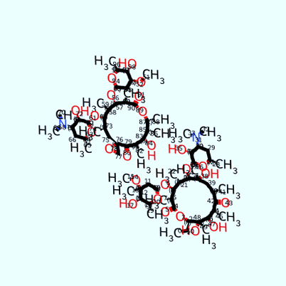 CC[C@H]1OC(=O)[C@H](C)[C@@H](O[C@H]2C[C@@](C)(OC)[C@@H](O)[C@H](C)O2)[C@H](C)[C@@H](O[C@@H]2O[C@H](C)C[C@H](N(C)C)[C@H]2O)[C@](C)(O)C[C@@H](C)C(=O)[C@H](C)[C@@H](O)[C@]1(C)O.CO[C@H]1C[C@H](O[C@H]2[C@H](C)[C@@H](O[C@@H]3O[C@H](C)C[C@H](N(C)C)[C@H]3O)[C@@H](C)C[C@]3(CO3)C(=O)[C@H](C)[C@@H](O)[C@@H](C)[C@@H](C)OC(=O)[C@@H]2C)O[C@@H](C)[C@@H]1O